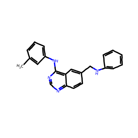 Cc1cccc(Nc2ncnc3ccc(CNc4ccccc4)cc23)c1